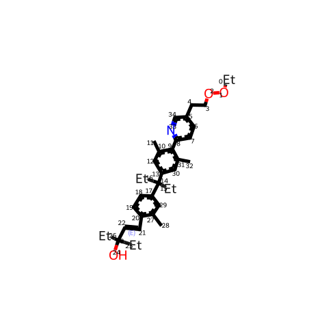 CCOOCCc1ccc(-c2c(C)cc(C(CC)(CC)c3ccc(/C=C/C(O)(CC)CC)c(C)c3)cc2C)nc1